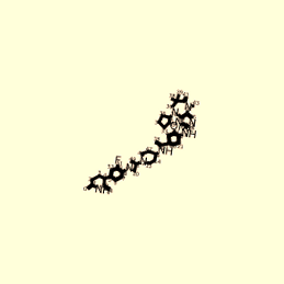 C=C1CCC(c2ccc(N3CC(N4CCC(NC(=C)c5ccc(Nc6ncc7c(n6)N(C6CCCC6)CC(C)(C)C(=C)N7C)c(OC)c5)CC4)C3)c(F)c2)C(=C)N1